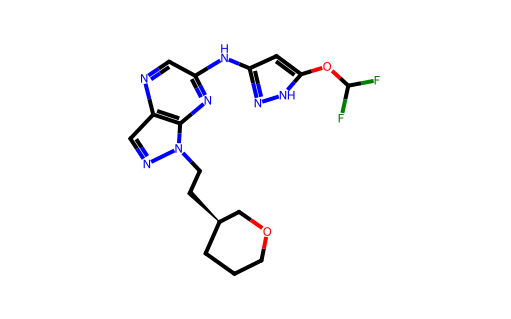 FC(F)Oc1cc(Nc2cnc3cnn(CC[C@@H]4CCCOC4)c3n2)n[nH]1